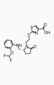 O=C(O)c1csc(SCCN2C(=O)CC[C@@H]2CNc2ccccc2OC(F)F)n1